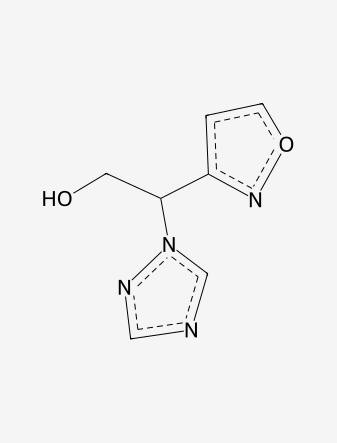 OCC(c1ccon1)n1cncn1